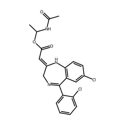 CC(=O)NC(C)OC(=O)C=C1CN=C(c2ccccc2Cl)c2cc(Cl)ccc2N1